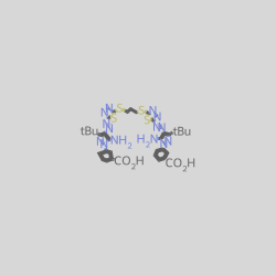 CC(C)(C)c1nn(-c2cccc(C(=O)O)c2)c(N)c1/N=N/c1nnc(SCCCSc2nnc(/N=N/c3c(C(C)(C)C)nn(-c4cccc(C(=O)O)c4)c3N)s2)s1